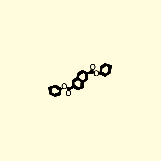 O=C(Oc1ccccc1)c1ccc2cc(C(=O)Oc3ccccc3)ccc2c1